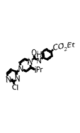 CCOC(=O)c1ccc(NC(=O)N2CCN(c3ccnc(Cl)n3)CC2C(C)C)cc1